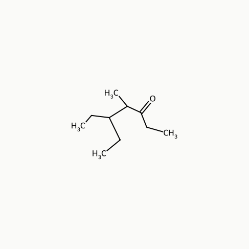 CCC(=O)C(C)C(CC)CC